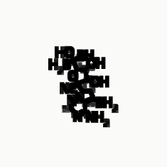 Bc1cc([C@]2(C#N)OC(C(B)(B)O)[C@@H](O)[C@H]2O)n2ncnc(N)c12